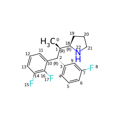 C[C@H]([C@H](c1cccc(F)c1)c1cccc(F)c1F)[C@H]1CCCN1